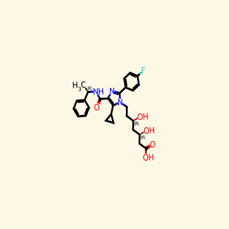 C[C@@H](NC(=O)c1nc(-c2ccc(F)cc2)n(CC[C@@H](O)C[C@@H](O)CC(=O)O)c1C1CC1)c1ccccc1